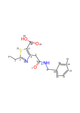 CCc1nc(CC(=O)NCc2cccc(C)c2)c(C(=O)O)s1